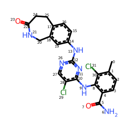 Cc1ccc(C(N)=O)c(Nc2nc(Nc3ccc4c(c3)CNC(=O)CC4)ncc2Cl)c1Cl